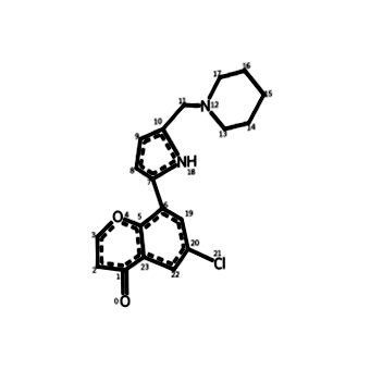 O=c1ccoc2c(-c3ccc(CN4CCCCC4)[nH]3)cc(Cl)cc12